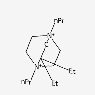 CCC[N+]12CC[N+](CCC)(CC1)C(CC)(CC)C2